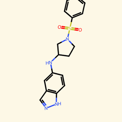 O=S(=O)(c1ccccc1)N1CCC(Nc2ccc3[nH]ncc3c2)C1